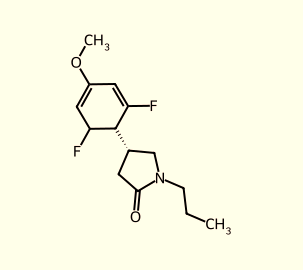 CCCN1C[C@@H](C2C(F)=CC(OC)=CC2F)CC1=O